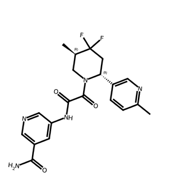 Cc1ccc([C@H]2CC(F)(F)[C@H](C)CN2C(=O)C(=O)Nc2cncc(C(N)=O)c2)cn1